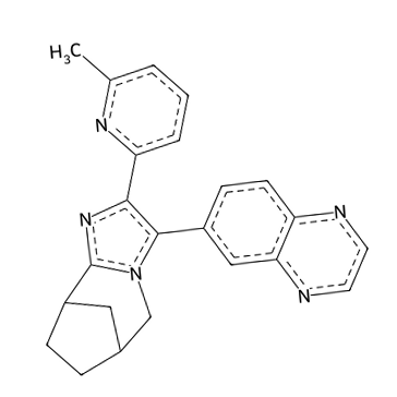 Cc1cccc(-c2nc3n(c2-c2ccc4nccnc4c2)CC2CCC3C2)n1